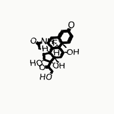 CC(N)=O.C[C@]12C=CC(=O)C=C1CC[C@H]1[C@@H]3C[C@@H](O)[C@](O)(C(=O)CO)[C@@]3(C)C[C@H](O)[C@@]12F